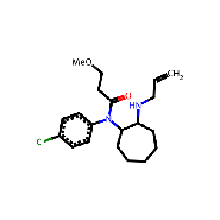 C=CCNC1CCCCCC1N(C(=O)CCOC)c1ccc(Cl)cc1